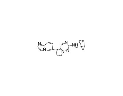 FC(F)(F)C1(CNc2ncc3c(-c4ccc5nccn5c4)ccn3n2)CC1